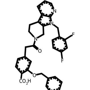 O=C(O)c1ccc(CC(=O)N2CCc3c(n(Cc4ccc(F)cc4F)c4ncccc34)C2)cc1OCc1ccccc1